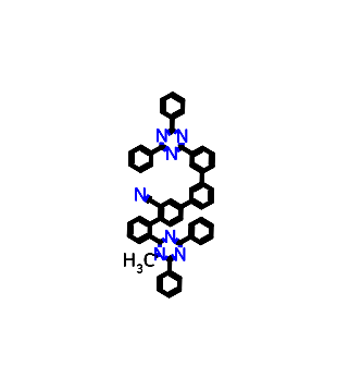 CN1C(c2ccccc2)=NC(c2ccccc2)=NC1c1ccccc1-c1ccc(-c2cccc(-c3cccc(-c4nc(-c5ccccc5)nc(-c5ccccc5)n4)c3)c2)cc1C#N